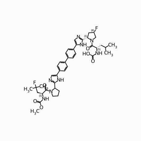 COC(=O)N[C@@H](CC(C)(C)F)C(=O)N1CCCC1c1ncc(-c2ccc(-c3ccc(-c4cnc([C@@H]5C[C@@H](F)CN5C(=O)[C@H](CC(C)C)NC(=O)O)[nH]4)cc3)cc2)[nH]1